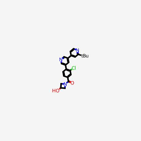 CC(C)(C)c1cc(-c2cncc(-c3ccc(C(=O)N4CC(O)C4)cc3Cl)c2)ccn1